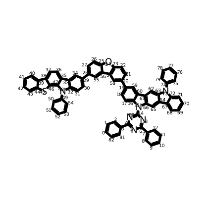 c1ccc(-c2nc(-c3ccccc3)nc(-n3c4ccc(-c5ccc6oc7ccc(-c8ccc9c(c8)c8ccc%10c%11ccccc%11sc%10c8n9-c8ccccc8)cc7c6c5)cc4c4cc5c(cc43)c3ccccc3n5-c3ccccc3)n2)cc1